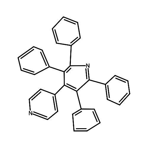 c1ccc(-c2nc(-c3ccccc3)c(-c3ccccc3)c(-c3ccncc3)c2-c2ccccc2)cc1